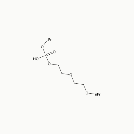 CCCOCCOCCOP(=O)(O)OC(C)C